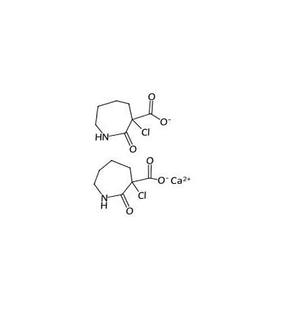 O=C([O-])C1(Cl)CCCCNC1=O.O=C([O-])C1(Cl)CCCCNC1=O.[Ca+2]